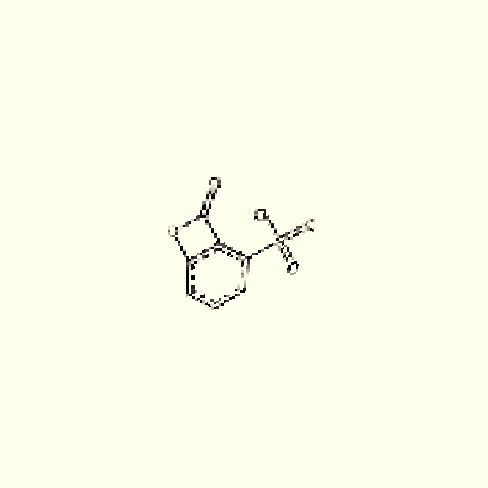 O=C1Oc2cccc(S(=O)(=O)Cl)c21